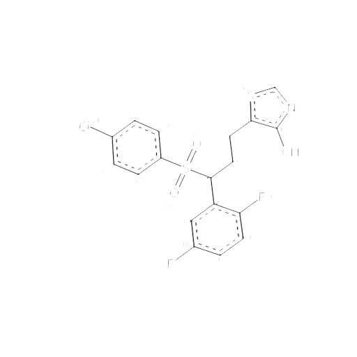 Cc1ncsc1CCC(c1cc(F)ccc1F)S(=O)(=O)c1ccc(Cl)cc1